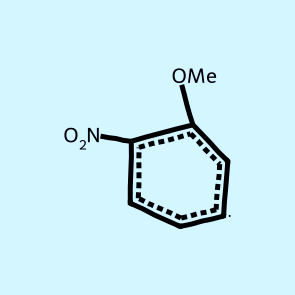 COc1c[c]ccc1[N+](=O)[O-]